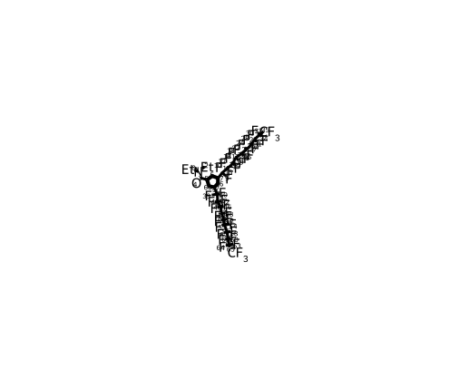 CCN(CC)C(=O)c1cc(C(F)(F)C(F)(F)C(F)(F)C(F)(F)C(F)(F)C(F)(F)C(F)(F)C(F)(F)C(F)(F)C(F)(F)F)cc(C(F)(F)C(F)(F)C(F)(F)C(F)(F)C(F)(F)C(F)(F)C(F)(F)C(F)(F)C(F)(F)C(F)(F)F)c1